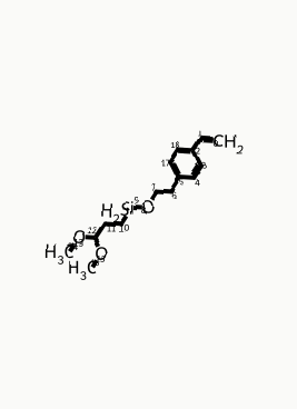 C=Cc1ccc(CCO[SiH2]CCC(OC)OC)cc1